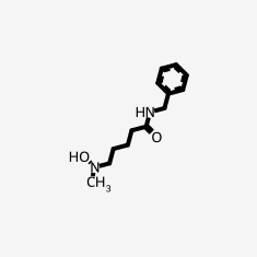 CN(O)CCCCC(=O)NCc1ccccc1